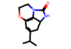 CC(C)C1=CC2=C3C(C1)NC(=O)N3CCO2